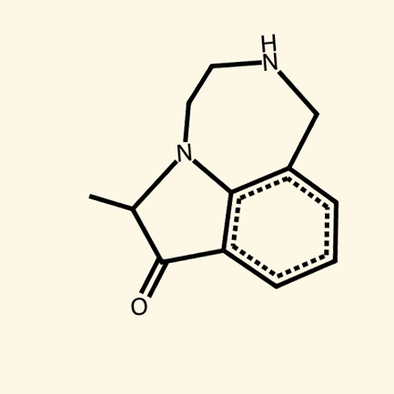 CC1C(=O)c2cccc3c2N1CCNC3